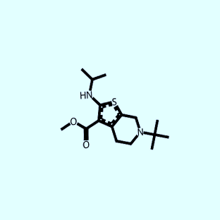 COC(=O)c1c(NC(C)C)sc2c1CCN(C(C)(C)C)C2